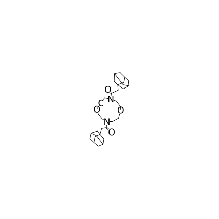 O=C(CC12CC3CC(CC(C3)C1)C2)N1CCOCCN(C(=O)CC23CC4CC(CC(C4)C2)C3)CCOCC1